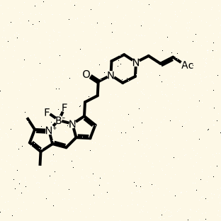 CC(=O)/C=C/CN1CCN(C(=O)CCc2ccc3n2[B-](F)(F)[N+]2=C(C)C=C(C)C2=C3)CC1